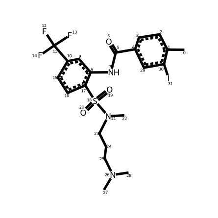 Cc1ccc(C(=O)Nc2cc(C(F)(F)F)ccc2S(=O)(=O)N(C)CCCN(C)C)cc1I